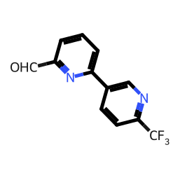 O=Cc1cccc(-c2ccc(C(F)(F)F)nc2)n1